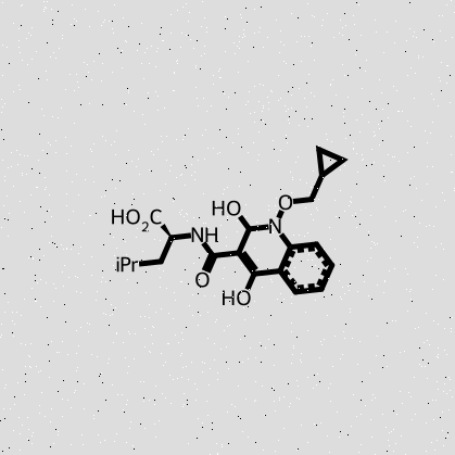 CC(C)C[C@H](NC(=O)C1=C(O)c2ccccc2N(OCC2CC2)C1O)C(=O)O